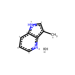 Cc1c[nH]c2cccnc12.[KH]